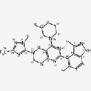 Cc1ccc2[nH]nc(C)c2c1-c1nc2c(c(N3CCCC(C)C3)n1)CN(c1cc(C(F)(F)F)nn1C)CC2